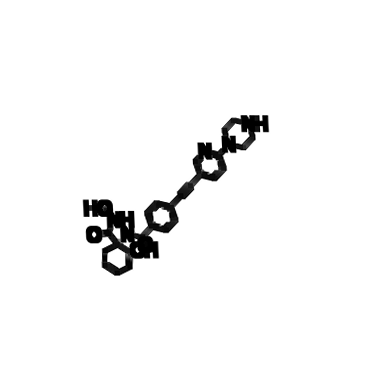 O=C(N[C@@]1(C(=O)NO)CC=CC=C1O)c1ccc(C#Cc2ccc(N3CCNCC3)nc2)cc1